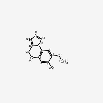 COc1cc2c(cc1Br)OCc1nncn1-2